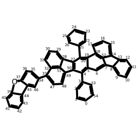 c1ccc(-c2c3cc4c5ccccc5c5cccc(c3c(-c3ccccc3)c3c6cccc7c(-c8ccc9oc%10ccccc%10c9c8)ccc(c23)c76)c54)cc1